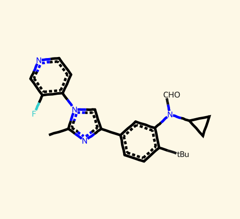 Cc1nc(-c2ccc(C(C)(C)C)c(N(C=O)C3CC3)c2)cn1-c1ccncc1F